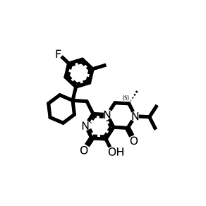 Cc1cc(F)cc(C2(Cc3nc(=O)c(O)c4n3C[C@H](C)N(C(C)C)C4=O)CCCCC2)c1